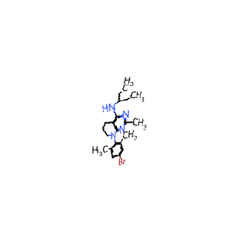 CCC(CC)Nc1nc(C)nc2c1CCCN2c1c(C)cc(Br)cc1C